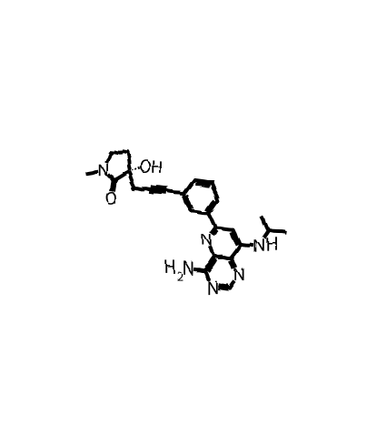 CC(C)Nc1cc(-c2cccc(C#CC[C@]3(O)CCN(C)C3=O)c2)nc2c(N)ncnc12